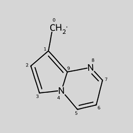 [CH2]c1ccn2cccnc12